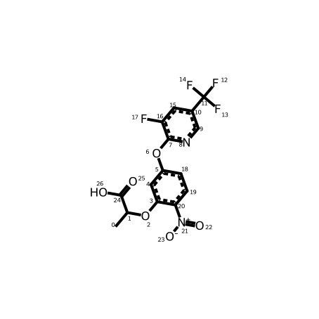 CC(Oc1cc(Oc2ncc(C(F)(F)F)cc2F)ccc1[N+](=O)[O-])C(=O)O